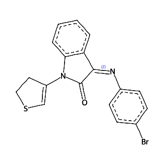 O=C1/C(=N\c2ccc(Br)cc2)c2ccccc2N1C1=CSCC1